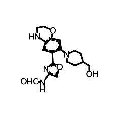 O=CNc1coc(-c2cc3c(cc2N2CCC(CO)CC2)OCCN3)n1